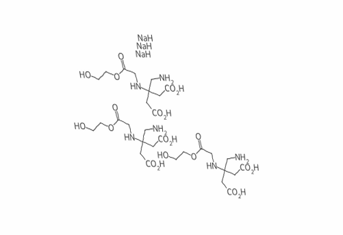 NCC(CC(=O)O)(CC(=O)O)NCC(=O)OCCO.NCC(CC(=O)O)(CC(=O)O)NCC(=O)OCCO.NCC(CC(=O)O)(CC(=O)O)NCC(=O)OCCO.[NaH].[NaH].[NaH]